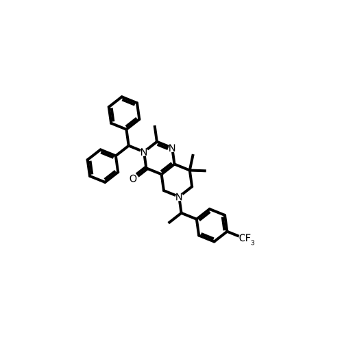 Cc1nc2c(c(=O)n1C(c1ccccc1)c1ccccc1)CN(C(C)c1ccc(C(F)(F)F)cc1)CC2(C)C